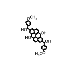 COc1ccc(C(O)c2cc3c4c5c(ccc4c2)C(O)c2cc(C(O)c4ccc(OC)cc4)cc4ccc(c-5c24)C3O)cc1